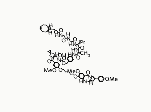 COc1ccc(C2=CN3C(=O)c4cc(OC)c(OCCCCCOc5cc6c(cc5OC)C(=O)N5CC7(CC7)C[C@H]5C(O)N6C(=O)OCc5ccc(NC(=O)[C@H](C)NC(=O)[C@@H](NC(=O)CNC(=O)CNC(=O)OCC6[C@H]7CCC#CCC[C@@H]67)C(C)C)cc5)cc4NC[C@@H]3C2)cc1